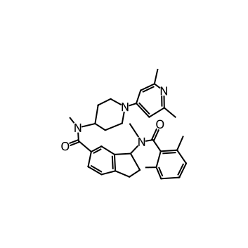 Cc1cc(N2CCC(N(C)C(=O)c3ccc4c(c3)C(N(C)C(=O)c3c(C)cccc3C)CC4)CC2)cc(C)n1